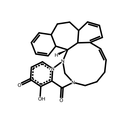 O=C1c2c(O)c(=O)ccn2N2CN1CCC/C=C\C1=CC=CC3CCC4C=CC=CC4[C@@H]2C13